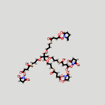 C=C1CCC(=O)N1OC(=O)CCC(=O)SCCCOCC(COCCCSC(=O)CCC(=O)ON1C(=O)CCC1=O)(COCCCSC(=O)CCC(=O)ON1C(=O)CCC1=O)COCCCSC(=O)CCC(=O)ON1C(=O)CCC1=O